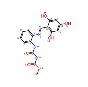 COC(=O)NC(=S)Nc1ccccc1N=Cc1c(O)cc(O)cc1O